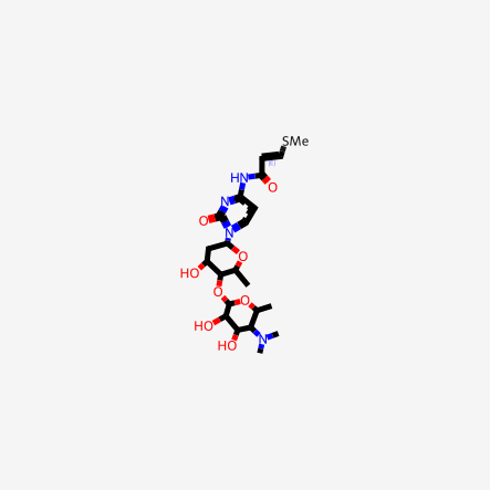 CS/C=C/C(=O)Nc1ccn(C2CC(O)C(OC3OC(C)C(N(C)C)C(O)C3O)C(C)O2)c(=O)n1